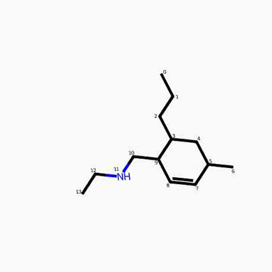 CCCC1CC(C)C=CC1CNCC